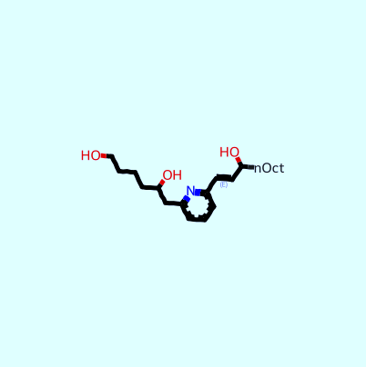 CCCCCCCCC(O)/C=C/c1cccc(CC(O)CCCCO)n1